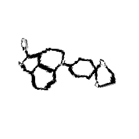 Clc1ncc2cccc3c2c1CCN3C1CCC2(CC1)OCCO2